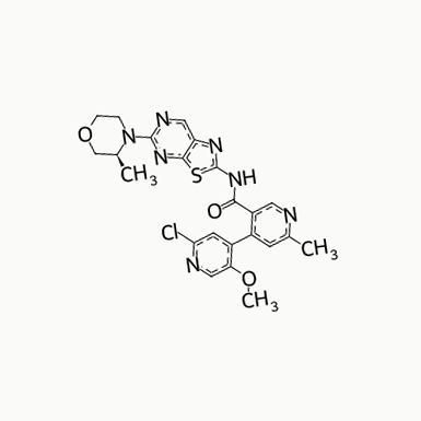 COc1cnc(Cl)cc1-c1cc(C)ncc1C(=O)Nc1nc2cnc(N3CCOC[C@@H]3C)nc2s1